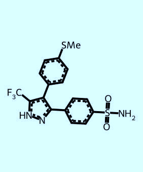 CSc1ccc(-c2c(-c3ccc(S(N)(=O)=O)cc3)n[nH]c2C(F)(F)F)cc1